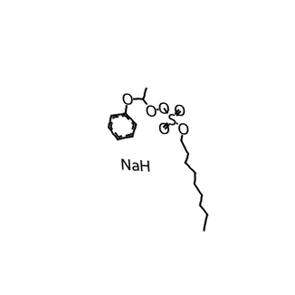 CCCCCCCCCOS(=O)(=O)OOC(C)Oc1ccccc1.[NaH]